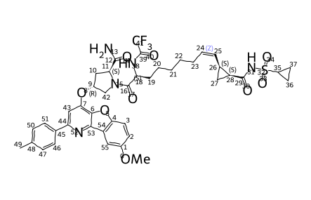 COc1ccc2oc3c(O[C@@H]4C[C@@H](C(N)=O)N(C(=O)[C@H](CCCCC/C=C\[C@@H]5C[C@@H]5C(=O)NS(=O)(=O)C5CC5)NC(=O)C(F)(F)F)C4)cc(-c4ccc(C)cc4)nc3c2c1